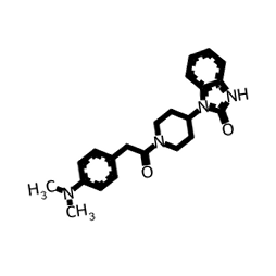 CN(C)c1ccc(CC(=O)N2CCC(n3c(=O)[nH]c4ccccc43)CC2)cc1